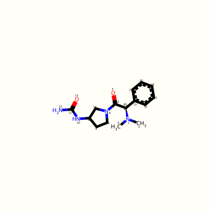 CN(C)[C@@H](C(=O)N1CCC(NC(N)=O)C1)c1ccccc1